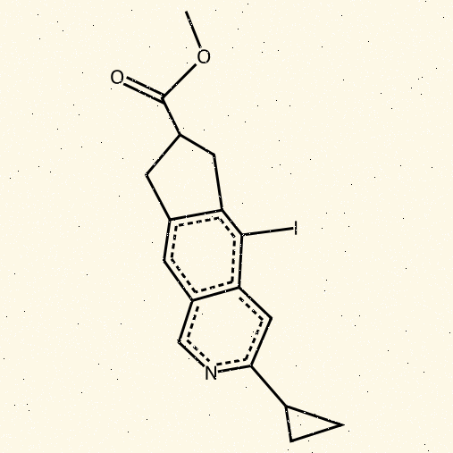 COC(=O)C1Cc2cc3cnc(C4CC4)cc3c(I)c2C1